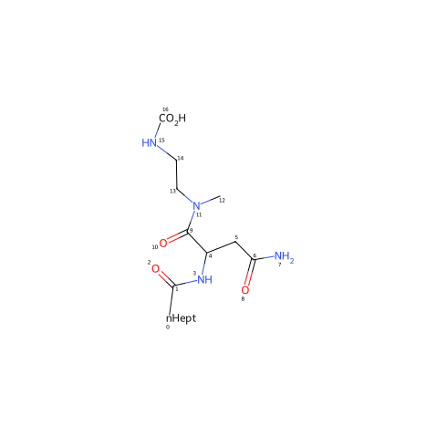 CCCCCCCC(=O)NC(CC(N)=O)C(=O)N(C)CCNC(=O)O